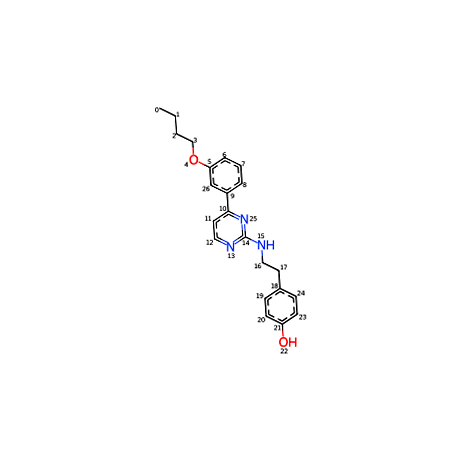 CCCCOc1cccc(-c2ccnc(NCCc3ccc(O)cc3)n2)c1